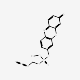 CCOP(=O)(OCN=[N+]=[N-])Oc1ccc2nc3ccc(=O)cc-3oc2c1